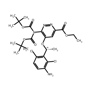 CCOC(=O)c1cc(O[C@H](C)c2c(Cl)ccc(N)c2Cl)c(N(C(=O)OC(C)(C)C)C(=O)OC(C)(C)C)nn1